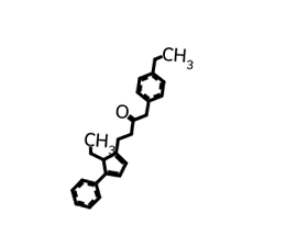 CCc1ccc(CC(=O)CCC2=CC=C(c3ccccc3)C2CC)cc1